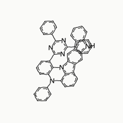 c1ccc(-c2nc(-c3ccccc3)nc(-c3cccc4c3-n3c5cc6c(cc5c5cccc(c53)N4c3ccccc3)[nH]c3ccccc36)n2)cc1